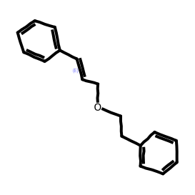 C(=C\c1ccccc1)/COCCc1ccccc1